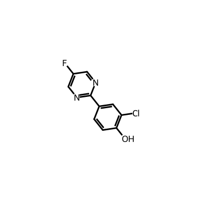 Oc1ccc(-c2ncc(F)cn2)cc1Cl